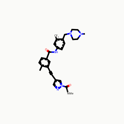 CNC(=O)n1cc(C#Cc2cc(C(=O)Nc3ccc(CN4CCN(C)CC4)c(C(F)(F)F)c3)ccc2C)cn1